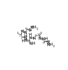 CC(C=NNC(=N)NN=CC(C)=NNC=NN)=NNC=NN